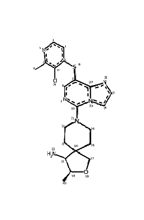 Cc1nccc(Sc2cnc(N3CCC4(CC3)CO[C@@H](C)C4N)n3ccnc23)c1Cl